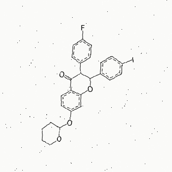 O=C1c2ccc(OC3CCCCO3)cc2OC(c2ccc(I)cc2)C1c1ccc(F)cc1